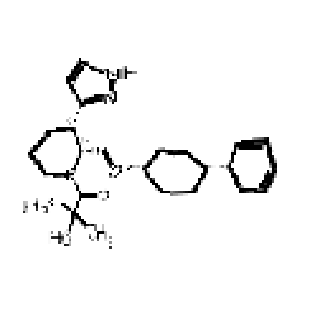 CC(C)(O)C(=O)N1CCC[C@H](c2cc[nH]n2)[C@@H]1CO[C@H]1CC[C@@H](c2ccccc2)CC1